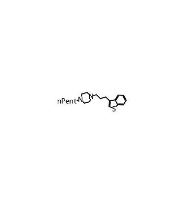 CCCCCN1CCN(CCCc2csc3ccccc23)CC1